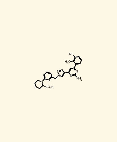 Cc1c(C#N)cccc1-c1cc(-c2cn(Cc3cccc(N4CCOCC4C(=O)O)n3)nn2)nc(N)n1